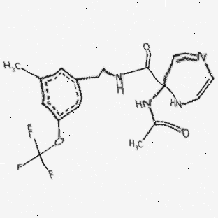 CC(=O)NC1(C(=O)NCc2cc(C)cc(OC(F)(F)F)c2)C=NC=CN1